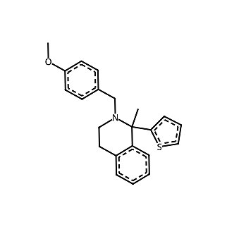 COc1ccc(CN2CCc3ccccc3C2(C)c2cccs2)cc1